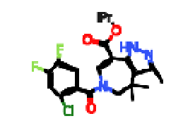 Cc1n[nH]c2c1C(C)(C)CN(C(=O)c1cc(F)c(F)cc1Cl)C=C2C(=O)OC(C)C